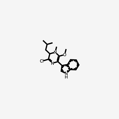 COC1=C(c2c[nH]c3ccccc23)N=C(Cl)C(CC(C)C)N1C